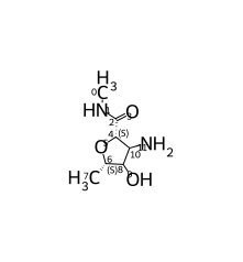 CNC(=O)[C@H]1O[C@@H](C)C(O)C1N